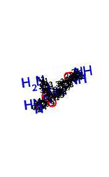 Cc1nc2ccc(NC(=O)[C@H](Cc3ccc(-c4ccc(C(=O)NC5CCNCC5)cc4C)cc3)NC(=O)C3CCC(CN)CC3)cc2[nH]1